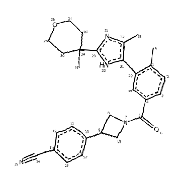 Cc1ccc(C(=O)N2CC(c3ccc(C#N)cc3)C2)cc1-c1[nH]c(C2(C)CCOCC2)nc1C